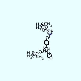 CC(C)(C)OC(=O)NC/C(=C\F)COc1ccc(-c2nc(N3CCOCC3)n(COCC[Si](C)(C)C)n2)cc1